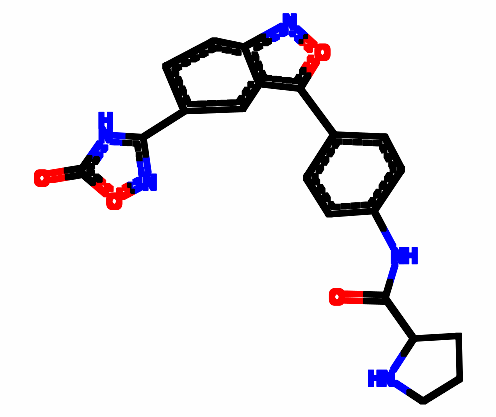 O=C(Nc1ccc(-c2onc3ccc(-c4noc(=O)[nH]4)cc23)cc1)C1CCCN1